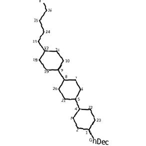 CCCCCCCCCCC1CCC(C2CCC(C3CCC(CCCCF)CC3)CC2)CC1